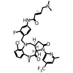 Cc1cc(C(F)(F)F)cc(N2C(=O)C[C@@H]3CN(Cc4ccc(NC(=O)/C=C/CN(C)C)cc4F)c4c(Cl)cccc4N(C)C(=O)[C@H]32)n1